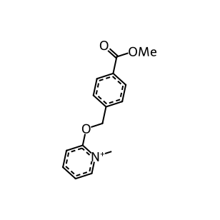 COC(=O)c1ccc(COc2cccc[n+]2C)cc1